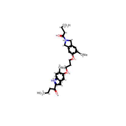 COc1cc2c(cc1OCCCOc1cc3cc(C(=O)CCC(=O)O)[nH]c3cc1OC)CN(C(=O)CCC(=O)O)C2